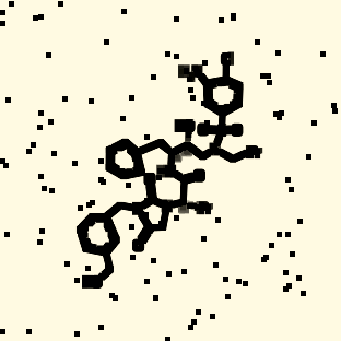 CC(C)CN(C[C@@H](O)[C@H](Cc1ccccc1)NC(=O)[C@H](C(C)C)N1CC(=O)N(Cc2cccc(CO)c2)C1=O)S(=O)(=O)c1ccc(Cl)c(N)c1